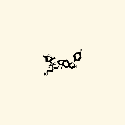 Cc1cc(S(=O)(=O)N(CCO)C[C@H]2CCC3=Cc4c(cnn4-c4ccc(F)cc4)C[C@@]32C)c(C)o1